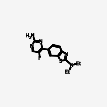 CCN(CC)c1nc2ccc(-c3nc(N)ncc3F)cc2s1